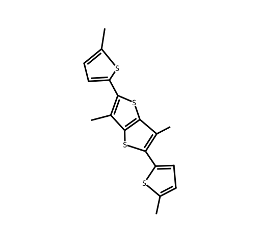 Cc1ccc(-c2sc3c(C)c(-c4ccc(C)s4)sc3c2C)s1